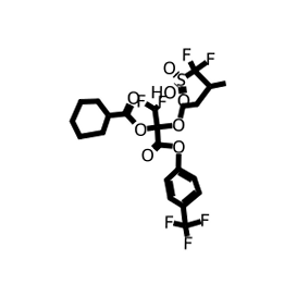 CC(CCOC(OC(=O)C1CCCCC1)(C(=O)Oc1ccc(C(F)(F)F)cc1)C(F)F)C(F)(F)S(=O)(=O)O